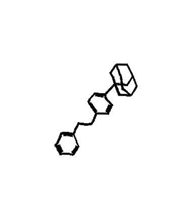 c1ccc(CCc2ccc(C34CC5CC(CC(C5)C3)C4)cc2)cc1